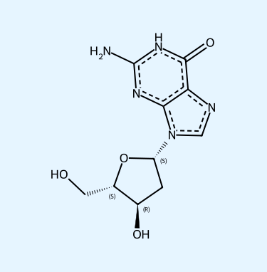 Nc1nc2c(ncn2[C@@H]2C[C@@H](O)[C@H](CO)O2)c(=O)[nH]1